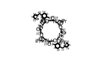 CC(C)C[C@H]1C(=O)O[C@H](Cc2ccc(Cc3cccs3)cc2)C(=O)N(C)[C@@H](CC(C)C)C(=O)O[C@H](C)C(=O)N(C)[C@@H](CC(C)C)C(=O)O[C@H](Cc2ccc(Cc3cccs3)cc2)C(=O)N(C)[C@@H](CC(C)C)C(=O)O[C@H](C)C(=O)N1C